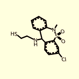 CN1c2ccccc2C(NCCS)c2ccc(Cl)cc2S1(=O)=O